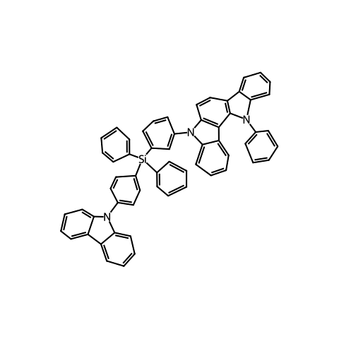 c1ccc(-n2c3ccccc3c3ccc4c(c5ccccc5n4-c4cccc([Si](c5ccccc5)(c5ccccc5)c5ccc(-n6c7ccccc7c7ccccc76)cc5)c4)c32)cc1